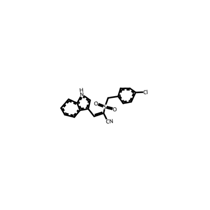 N#CC(=Cc1c[nH]c2ccccc12)S(=O)(=O)Cc1ccc(Cl)cc1